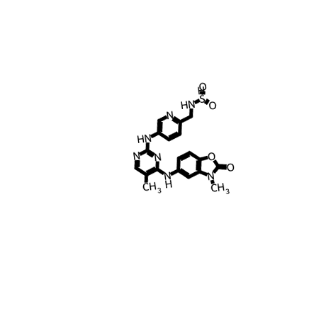 Cc1cnc(Nc2ccc(CN[SH](=O)=O)nc2)nc1Nc1ccc2oc(=O)n(C)c2c1